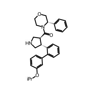 CC(C)Oc1cccc(-c2ccccc2[C@@H]2CNC[C@H]2C(=O)N2CCOC[C@@H]2c2ccccc2)c1